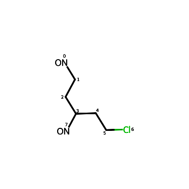 O=NCCC(CCCl)N=O